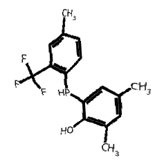 Cc1cc(C)c(O)c(Pc2ccc(C)cc2C(F)(F)F)c1